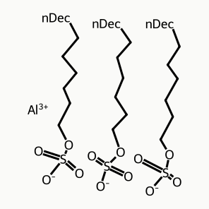 CCCCCCCCCCCCCCCCOS(=O)(=O)[O-].CCCCCCCCCCCCCCCCOS(=O)(=O)[O-].CCCCCCCCCCCCCCCCOS(=O)(=O)[O-].[Al+3]